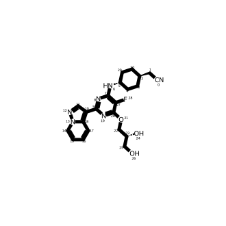 N#CC[C@H]1CC[C@H](Nc2nc(-c3cnn4ccccc34)nc(OC[C@H](O)CO)c2F)CC1